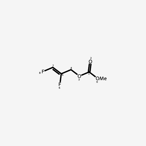 COC(=O)OCC(F)=CF